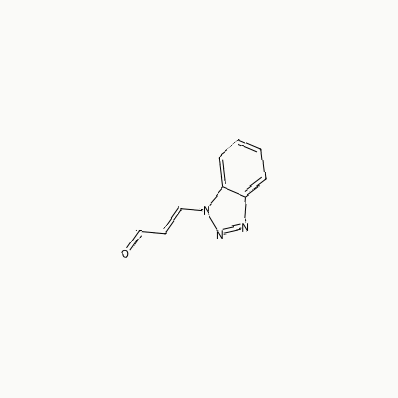 O=[C]C=Cn1nnc2ccccc21